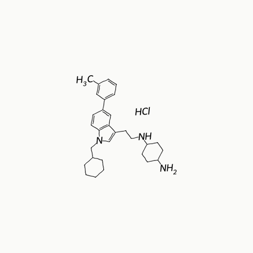 Cc1cccc(-c2ccc3c(c2)c(CCNC2CCC(N)CC2)cn3CC2CCCCC2)c1.Cl